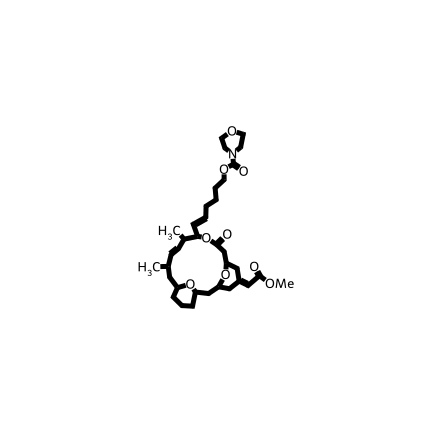 COC(=O)/C=C1\CC2CC(=O)OC(/C=C/CCCCOC(=O)N3CCOCC3)C(C)/C=C/C(C)CC3CCCC(CC(C1)O2)O3